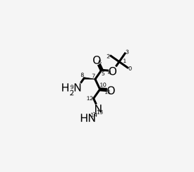 CC(C)(C)OC(=O)[C@H](CN)C(=O)CN=N